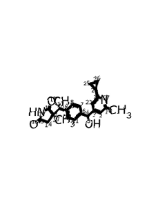 Cc1cc(C(O)c2ccc([C@@H](C)[C@]3(C)CC(=O)NC3=O)cc2)cc(C2CC2)n1